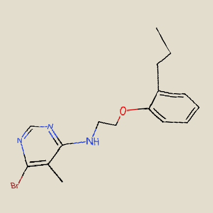 CCCc1ccccc1OCCNc1ncnc(Br)c1C